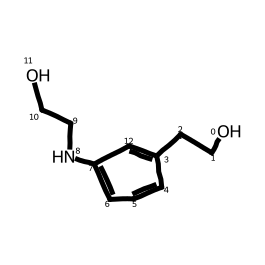 OC[CH]c1cccc(NCCO)c1